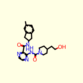 Cc1ccc2c(c1)CC(NC(=O)c1nccnc1NC(=O)N1CCC(CCO)CC1)C2